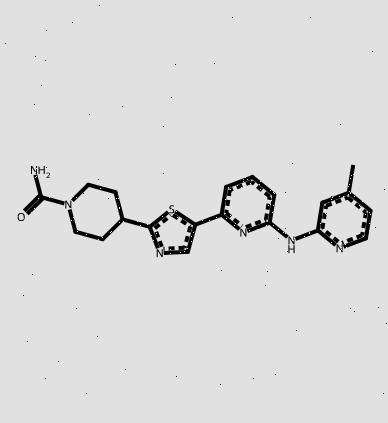 Cc1ccnc(Nc2cccc(-c3cnc(C4CCN(C(N)=O)CC4)s3)n2)c1